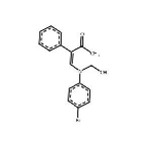 CCN(/C=C(\C(C)=O)c1ccccc1)c1ccc(Br)cc1